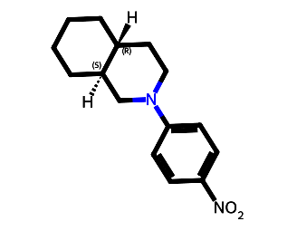 O=[N+]([O-])c1ccc(N2CC[C@H]3CCCC[C@@H]3C2)cc1